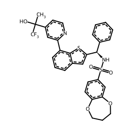 CC(O)(c1ccnc(-c2cccc3cc([C@H](NS(=O)(=O)c4ccc5c(c4)OCCCO5)c4ccccc4)sc23)c1)C(F)(F)F